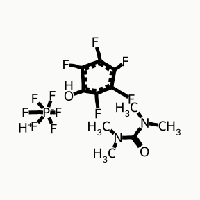 CN(C)C(=O)N(C)C.F[P-](F)(F)(F)(F)F.Oc1c(F)c(F)c(F)c(F)c1F.[H+]